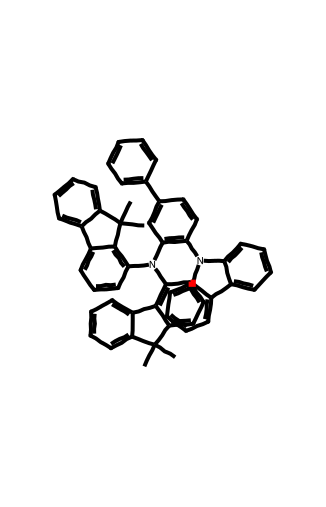 CC1(C)c2ccccc2-c2c(N(c3cc(-c4ccccc4)ccc3-n3c4ccccc4c4ccccc43)c3cccc4c3C(C)(C)c3ccccc3-4)cccc21